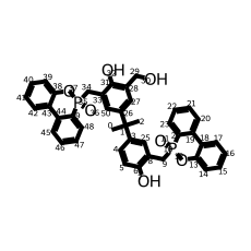 CC(C)(c1ccc(O)c(CP2(=O)Oc3ccccc3-c3ccccc32)c1)c1cc(CO)c(O)c(CP2(=O)Oc3ccccc3-c3ccccc32)c1